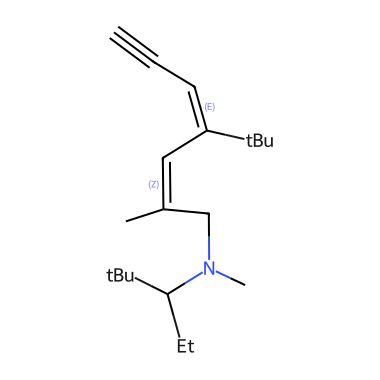 C#C/C=C(\C=C(\C)CN(C)C(CC)C(C)(C)C)C(C)(C)C